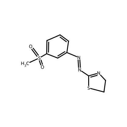 CS(=O)(=O)c1cccc(N=NC2=NCCS2)c1